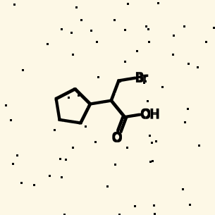 O=C(O)C(CBr)C1CCCC1